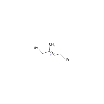 C/C(=C\CC(C)C)CC(C)C